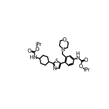 CC(C)OC(=O)Nc1ccc(-c2cnc(C3CCC(NC(=O)OC(C)C)CC3)s2)c(CN2CCOCC2)c1